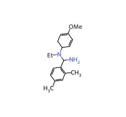 CCN(C1C=CC(OC)=CC1)C(N)c1ccc(C)cc1C